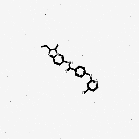 CCC1N=C2C=CC(NC(=O)c3ccc(Oc4cc(Cl)ccn4)cc3)=CN2C1C